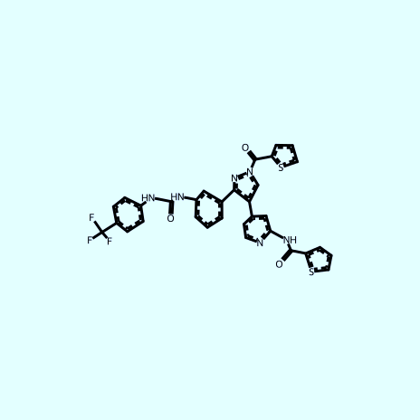 O=C(Nc1ccc(C(F)(F)F)cc1)Nc1cccc(-c2nn(C(=O)c3cccs3)cc2-c2ccnc(NC(=O)c3cccs3)c2)c1